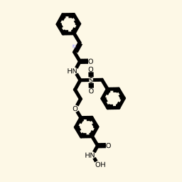 O=C(/C=C/c1ccccc1)NC(CCOc1ccc(C(=O)NO)cc1)S(=O)(=O)Cc1ccccc1